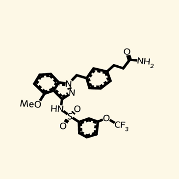 COc1cccc2c1c(NS(=O)(=O)c1cccc(OC(F)(F)F)c1)nn2Cc1cccc(CCC(N)=O)c1